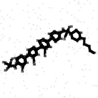 CCCCCC1CCC(C(F)(F)Oc2ccc(-c3ccc(-c4ccc(-c5ccc(OC(F)(F)F)c(F)c5)c(F)c4)c(F)c3)cc2)CC1